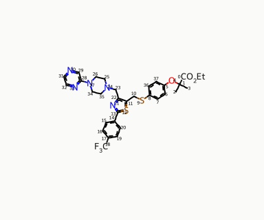 CCOC(=O)C(C)(C)Oc1ccc(SCc2sc(-c3ccc(C(F)(F)F)cc3)nc2CN2CCN(c3cnccn3)CC2)cc1